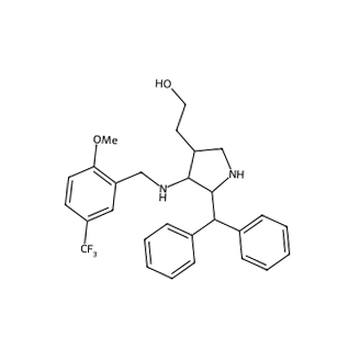 COc1ccc(C(F)(F)F)cc1CNC1C(CCO)CNC1C(c1ccccc1)c1ccccc1